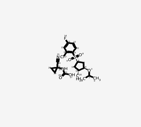 CC(C)O[C@@H]1C[C@@H](S(=O)(=O)c2ccc(F)cc2Cl)C[C@H]1C.N#CC1(NC(=O)O)CC1